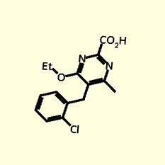 CCOc1nc(C(=O)O)nc(C)c1Cc1ccccc1Cl